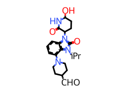 CC(C)n1c(=O)n(C2CCC(O)NC2=O)c2cccc(N3CCC(C=O)CC3)c21